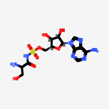 Nc1ncnc2c1ncn2[C@@H]1O[C@H](COS(=O)(=O)NC(=O)C(N)CO)[C@@H](O)[C@H]1O